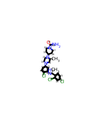 C[C@@H]1CN(c2ccc(Cl)c(N[C@H](C)c3ccc(Cl)cc3Cl)c2)CCN1C1CCN(C(N)=O)CC1